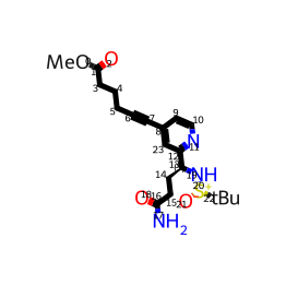 COC(=O)CCCC#Cc1ccnc([C@H](CCC(N)=O)N[S+]([O-])C(C)(C)C)c1